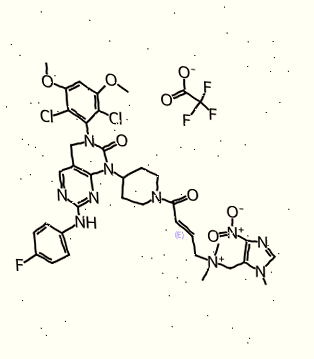 COc1cc(OC)c(Cl)c(N2Cc3cnc(Nc4ccc(F)cc4)nc3N(C3CCN(C(=O)/C=C/C[N+](C)(C)Cc4c([N+](=O)[O-])ncn4C)CC3)C2=O)c1Cl.O=C([O-])C(F)(F)F